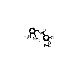 NCc1c(N)cccc1CNC(=O)c1ccc(OC(F)F)c(Cl)c1